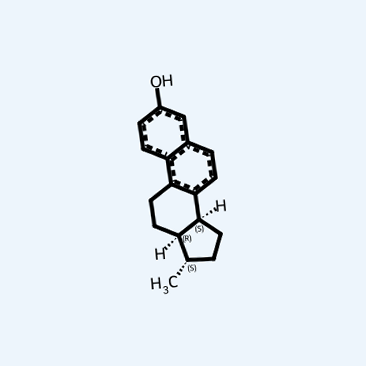 C[C@H]1CC[C@@H]2c3ccc4cc(O)ccc4c3CC[C@@H]21